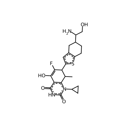 CC1c2c(c(=O)[nH]c(=O)n2C2CC2)C(O)=C(F)C1c1cc2c(s1)CCC(C(N)CO)C2